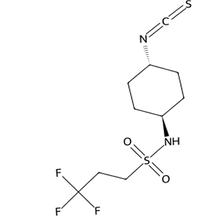 O=S(=O)(CCC(F)(F)F)N[C@H]1CC[C@H](N=C=S)CC1